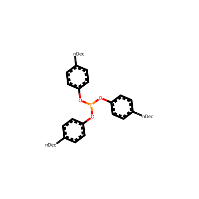 CCCCCCCCCCc1ccc(OP(Oc2ccc(CCCCCCCCCC)cc2)Oc2ccc(CCCCCCCCCC)cc2)cc1